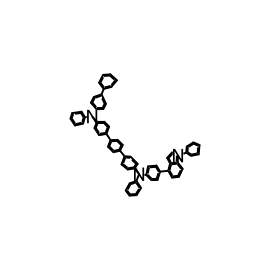 c1ccc(-c2ccc(N(c3ccccc3)c3ccc(-c4ccc(-c5ccc(N(c6ccccc6)c6ccc(-c7cccc8c7ccn8-c7ccccc7)cc6)cc5)cc4)cc3)cc2)cc1